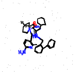 Cc1nc(N)ccc1C[N+]1(C(=O)[C@@H](CC2CCCCC2)NCc2ccccc2-c2ccccc2)CCC[C@@H]2C[C@@]21C(N)=O